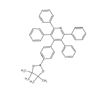 CC1(C)OB(c2ccc(-c3c(-c4ccccc4)c(-c4ccccc4)nc(-c4ccccc4)c3-c3ccccc3)cc2)OC1(C)C